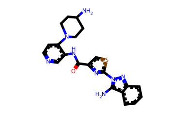 Nc1c2ccccc2nn1-c1nc(C(=O)Nc2cnccc2N2CCC(N)CC2)cs1